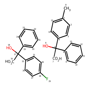 Cc1ccc(C(O)(C(=O)O)c2ccccc2)cc1.O=C(O)C(O)(c1ccccc1)c1ccc(F)cc1